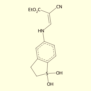 CCOC(=O)/C(C#N)=C\Nc1ccc2c(c1)CCS2(O)O